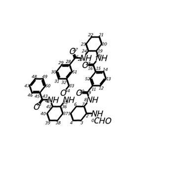 O=CNC1CCCCC1NC(=O)c1cccc(C(=O)NC2CCCCC2NC(=O)c2cccc(CONC3CCCCC3NC(=O)c3ccccc3)c2)c1